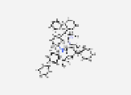 C=C/C=C1\C(=C/C)C(c2ccccc2)(c2ccccc2)c2cccc(N3c4ccc(-c5ccccc5)cc4C(C)(C)c4cc(-c5ccccc5)ccc43)c21